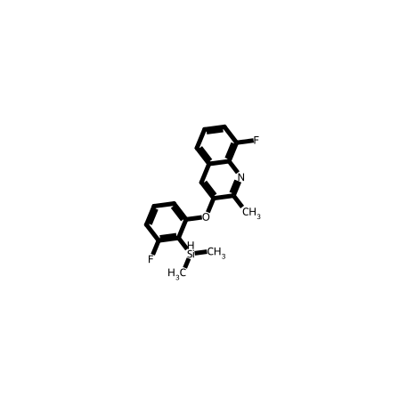 Cc1nc2c(F)cccc2cc1Oc1cccc(F)c1[SiH](C)C